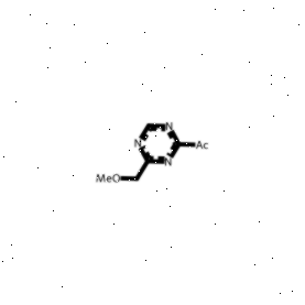 COCc1ncnc(C(C)=O)n1